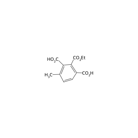 CCOC(=O)c1c(C(=O)O)ccc(C)c1C(=O)O